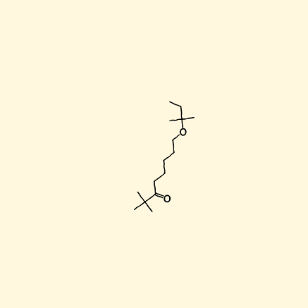 CCC(C)(C)OCCCCCC(=O)C(C)(C)C